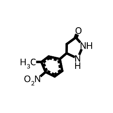 Cc1cc(C2CC(=O)NN2)ccc1[N+](=O)[O-]